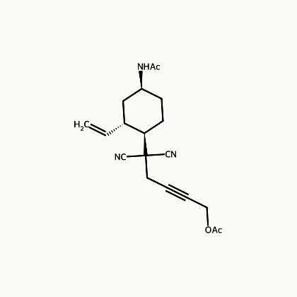 C=C[C@@H]1C[C@@H](NC(C)=O)CC[C@H]1C(C#N)(C#N)CC#CCOC(C)=O